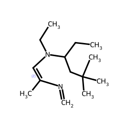 C=N/C(C)=C\N(CC)C(CC)CC(C)(C)C